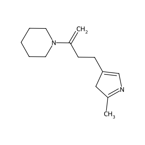 C=C(CCC1=CN=C(C)C1)N1CCCCC1